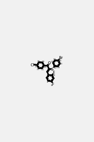 O=C(C(=Cc1ccc(F)cc1F)Sc1ccc(Br)cc1)c1ccc(Cl)cc1